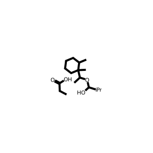 CC(C)C(O)OC(C)C1(C)CCCCC1C.CCC(=O)O